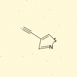 [C]#Cc1cnsc1